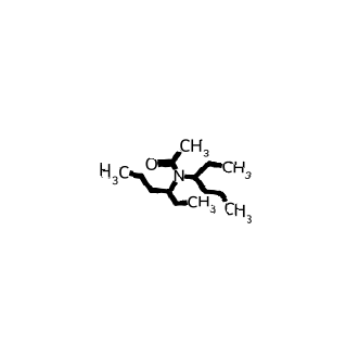 CCCC(CC)N(C(C)=O)C(CC)CCC